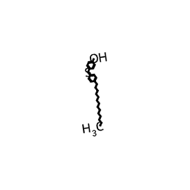 CCCCCCCCCCCCCCc1ccc(Sc2ccc(O)cc2)cc1